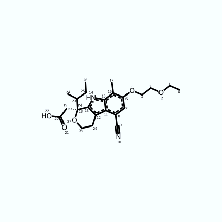 CCOCCOc1cc(C#N)c2c3c([nH]c2c1C)[C@](CC(=O)O)(C(C)CC)OCC3